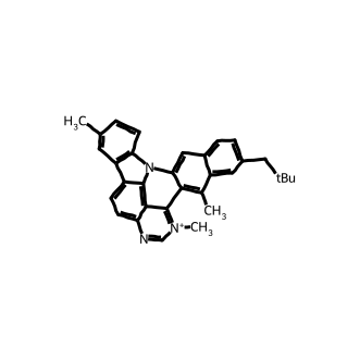 Cc1ccc2c(c1)c1ccc3nc[n+](C)c4c5c(C)c6cc(CC(C)(C)C)ccc6cc5n2c1c34